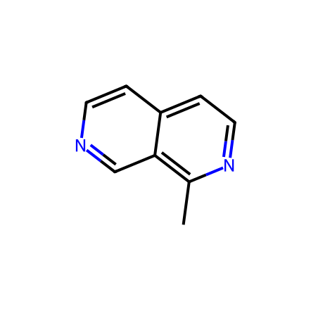 Cc1nccc2ccncc12